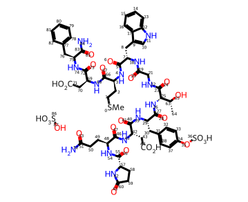 CSCC[C@H](NC(=O)[C@H](Cc1c[nH]c2ccccc12)NC(=O)CNC(=O)[C@@H](NC(=O)[C@H](Cc1ccc(OS(=O)(=O)O)cc1)NC(=O)[C@H](CC(=O)O)NC(=O)[C@H](CCC(N)=O)NC(=O)[C@@H]1CCC(=O)N1)[C@@H](C)O)C(=O)N[C@@H](CC(=O)O)C(=O)N[C@@H](Cc1ccccc1)C(N)=O.O=S(=O)(O)O